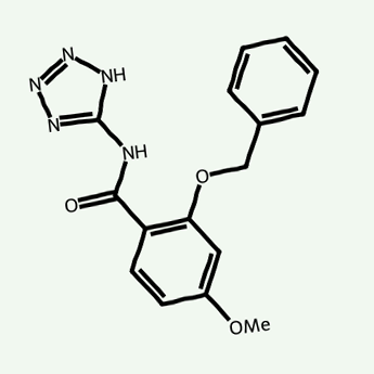 COc1ccc(C(=O)Nc2nnn[nH]2)c(OCc2ccccc2)c1